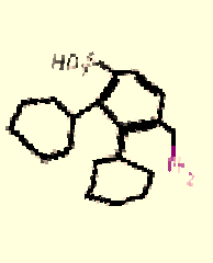 O=S(=O)(O)c1ccc(CP)c(C2CCCCC2)c1C1CCCCC1